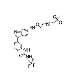 CS(=O)(=O)CCNCCO/N=C/c1ccn2c(-c3cccc(NC(=O)NCC(F)(F)F)c3)cnc2c1